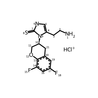 Cl.NCCC1=C[N]C(=S)N1[C@@H]1COc2c(F)cc(F)cc2C1